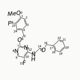 COc1ccc(COc2ncc(F)c(NCOCc3ccccc3)n2)cc1F